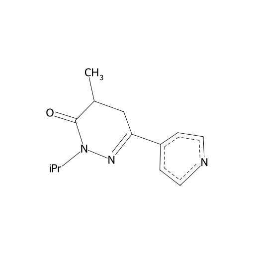 CC1CC(c2ccncc2)=NN(C(C)C)C1=O